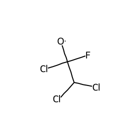 [O]C(F)(Cl)C(Cl)Cl